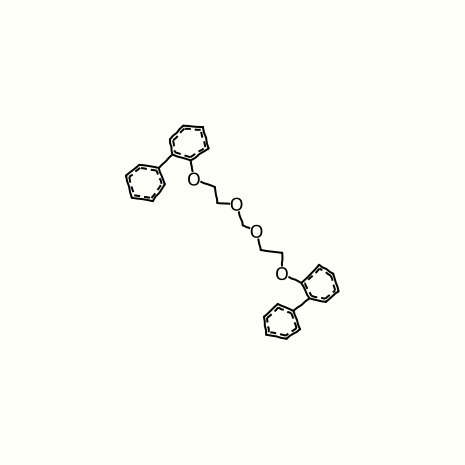 c1ccc(-c2ccccc2OCCOCOCCOc2ccccc2-c2ccccc2)cc1